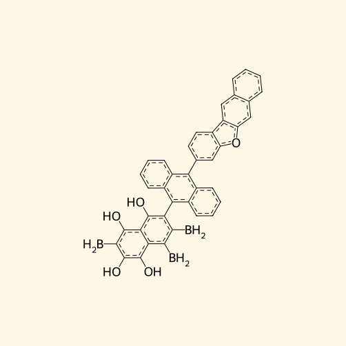 Bc1c(-c2c3ccccc3c(-c3ccc4c(c3)oc3cc5ccccc5cc34)c3ccccc23)c(O)c2c(O)c(B)c(O)c(O)c2c1B